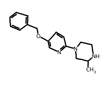 CC1CN(c2ccc(OCc3ccccc3)cn2)CCN1